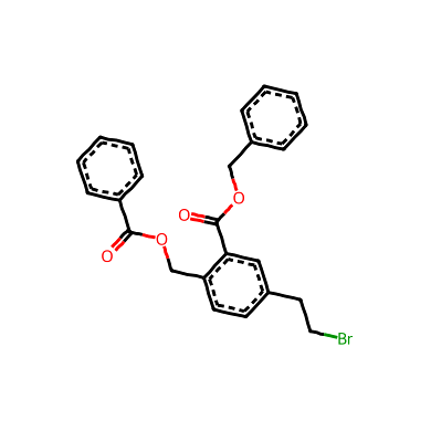 O=C(OCc1ccc(CCBr)cc1C(=O)OCc1ccccc1)c1ccccc1